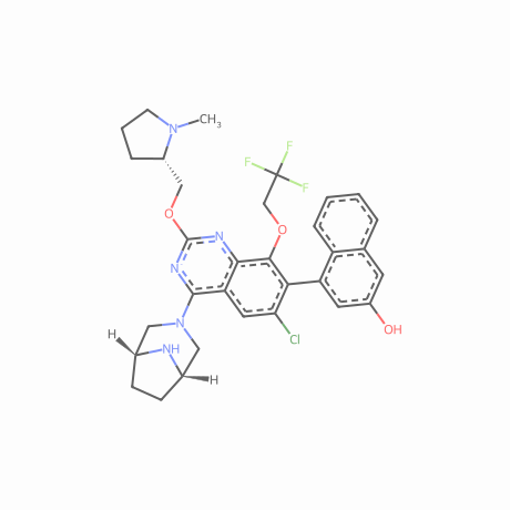 CN1CCC[C@H]1COc1nc(N2C[C@H]3CC[C@@H](C2)N3)c2cc(Cl)c(-c3cc(O)cc4ccccc34)c(OCC(F)(F)F)c2n1